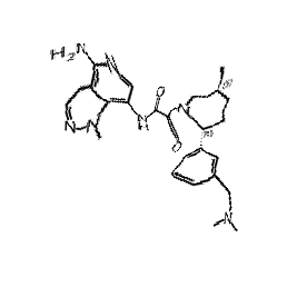 C[C@H]1CC[C@H](c2cccc(CN(C)C)c2)N(C(=O)C(=O)Nc2cnc(N)c3cnn(C)c23)C1